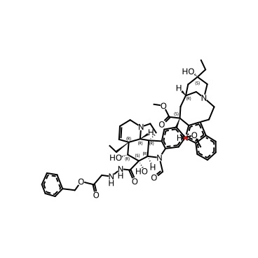 CC[C@]1(O)C[C@@H]2CN(CCc3c([nH]c4ccccc34)[C@@](C(=O)OC)(c3cc4c(cc3OC)N(C=O)[C@H]3[C@@](O)(C(=O)NNCC(=O)OCc5ccccc5)[C@H](O)[C@]5(CC)C=CCN6CC[C@]43[C@@H]65)C2)C1